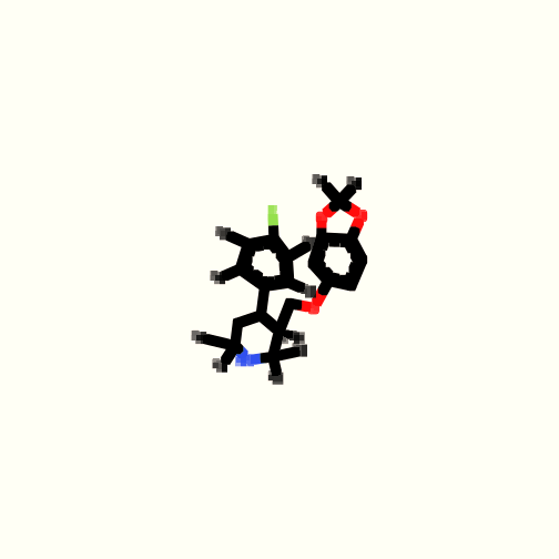 [2H]c1c([2H])c(C2CC([2H])([2H])NC([2H])([2H])[C@]2([2H])COc2ccc3c(c2)OC([2H])([2H])O3)c([2H])c([2H])c1F